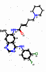 CNc1cc2ncnc(Nc3ccc(F)c(Cl)c3)c2cc1NC(=O)C=CCCN1CCCCC1